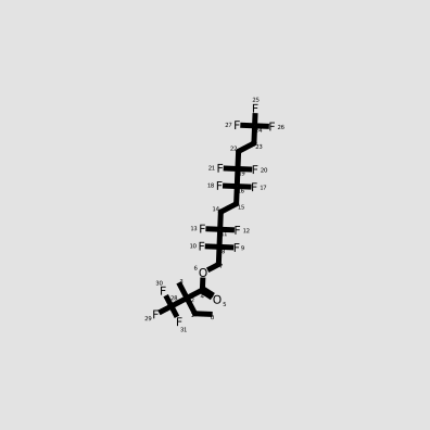 CCC(C)(C(=O)OCC(F)(F)C(F)(F)CCC(F)(F)C(F)(F)CCC(F)(F)F)C(F)(F)F